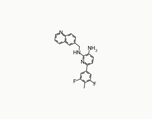 Cc1c(F)cc(-c2ccc(N)c(NCc3ccc4ncccc4c3)n2)cc1F